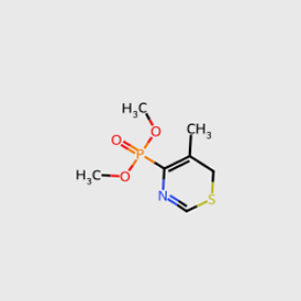 COP(=O)(OC)C1=C(C)CSC=N1